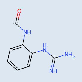 N=C(N)Nc1ccccc1N[C]=O